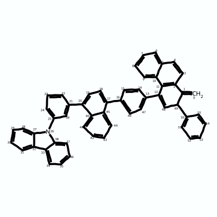 C=C1c2ccc3ccccc3c2C(c2ccc(-c3ccc(-c4cccc(-n5c6ccccc6c6ccccc65)c4)c4ccccc34)cc2)=CC1c1ccccc1